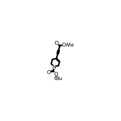 COC(=O)C#CC1=CCN(C(=O)OC(C)(C)C)CC1